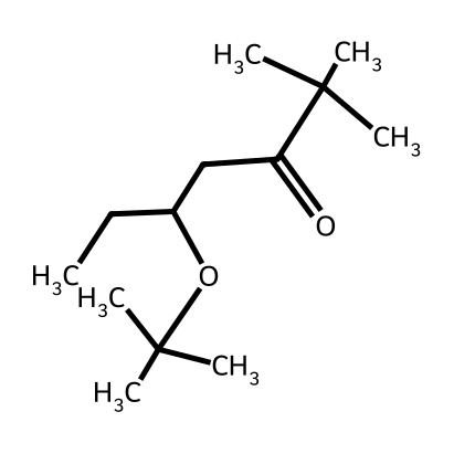 CCC(CC(=O)C(C)(C)C)OC(C)(C)C